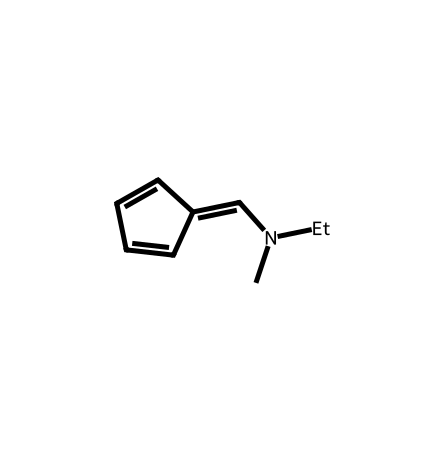 CCN(C)C=C1C=CC=C1